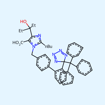 CCCCc1nc(C(O)(CC)CC)c(C(=O)O)n1Cc1ccc(-c2ccccc2C2(C(c3ccccc3)(c3ccccc3)c3ccccc3)N=NN=N2)cc1